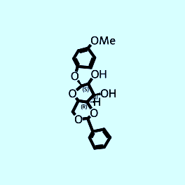 COc1ccc(O[C@@H]2OC3COC(c4ccccc4)O[C@@H]3[C@H](O)C2O)cc1